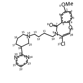 COc1ccc2c(c1)C(=O)N(CCCCN1CCCC(c3ncccn3)C1)C(Cl)=CO2